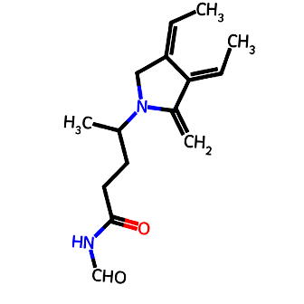 C=C1C(=C/C)/C(=C\C)CN1C(C)CCC(=O)NC=O